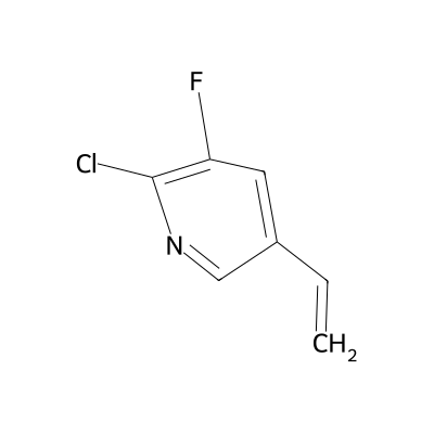 C=Cc1cnc(Cl)c(F)c1